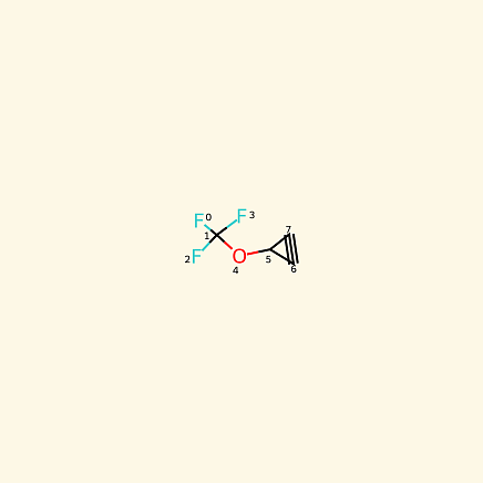 FC(F)(F)OC1C#C1